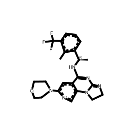 Cc1c([C@@H](C)NC2=NC3=NCCN3c3cnc(N4CCOCC4)cc32)cccc1C(F)(F)F